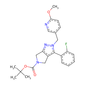 COc1ccc(Cn2nc3c(c2-c2ccccc2F)CN(C(=O)OC(C)(C)C)C3)cn1